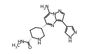 CNC(=O)[C@@H]1CC[C@H](c2cc(N)n3ncc(-c4cn[nH]c4)c3n2)CN1